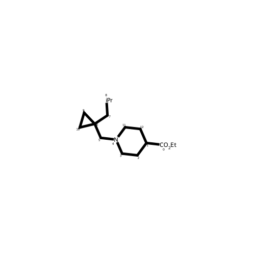 CCOC(=O)C1CCN(CC2(CC(C)C)CC2)CC1